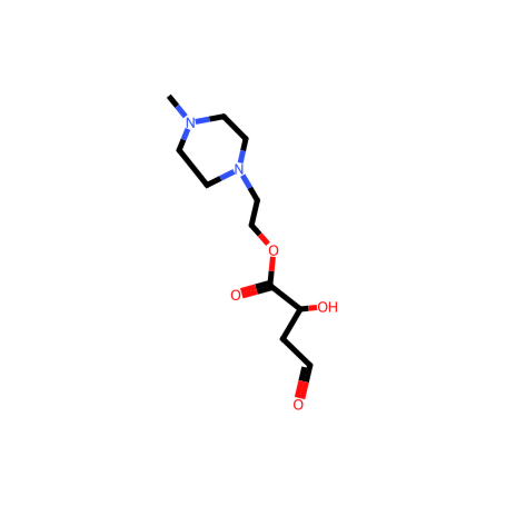 CN1CCN(CCOC(=O)C(O)CC=O)CC1